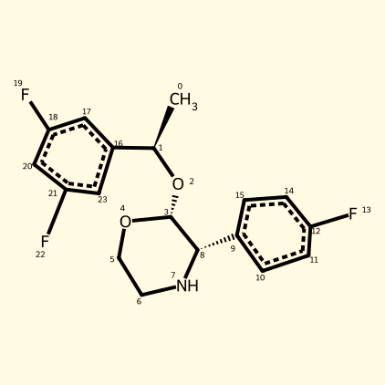 C[C@@H](O[C@H]1OCCN[C@H]1c1ccc(F)cc1)c1cc(F)cc(F)c1